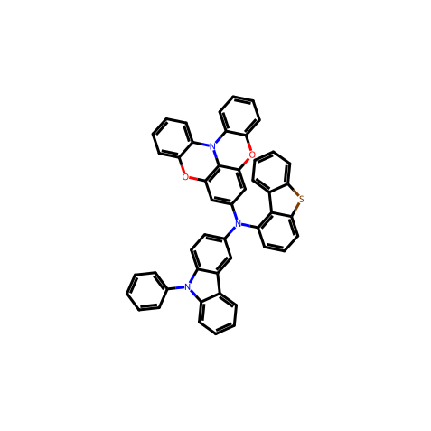 c1ccc(-n2c3ccccc3c3cc(N(c4cc5c6c(c4)Oc4ccccc4N6c4ccccc4O5)c4cccc5sc6ccccc6c45)ccc32)cc1